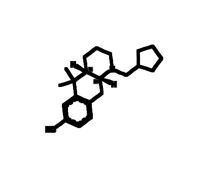 CC1(C)c2cc(O)ccc2C[C@@H]2[C@H]1CCCN2CC1CCCC1